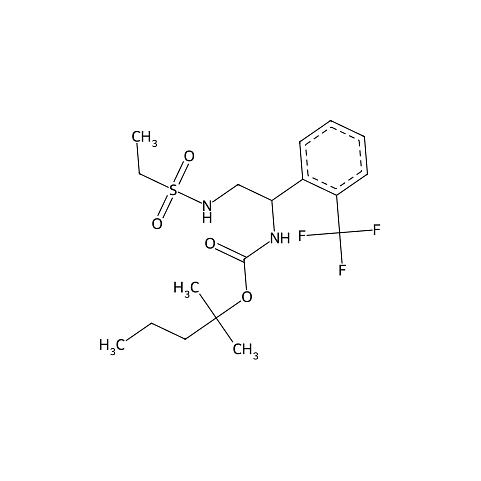 CCCC(C)(C)OC(=O)NC(CNS(=O)(=O)CC)c1ccccc1C(F)(F)F